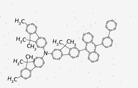 Cc1ccc2c(c1)C(C)(C)c1cc(N(c3ccc4c(c3)C(C)(C)c3cc(C)ccc3-4)c3ccc4c(c3)C(C)(C)c3cc(-c5c6ccccc6c(-c6cccc(-c7ccccc7)c6)c6ccccc56)ccc3-4)ccc1-2